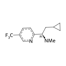 CN[C@H](CC1CC1)c1ccc(C(F)(F)F)cn1